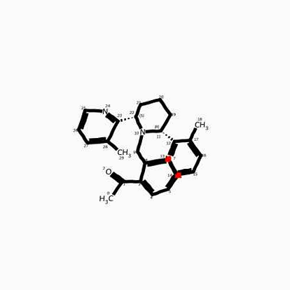 CC(=O)c1ccccc1CN1[C@@H](c2ncccc2C)CCC[C@H]1c1ncccc1C